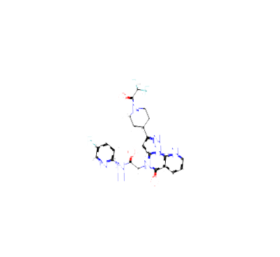 O=C(Cn1c(=O)c2cccnc2n2nc(C3CCN(C(=O)C(F)F)CC3)cc12)Nc1ccc(F)cn1